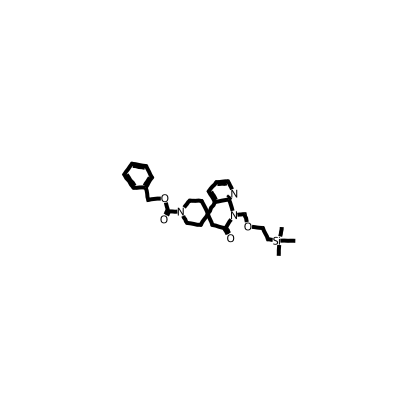 C[Si](C)(C)CCOCN1C(=O)CC2(CCN(C(=O)OCc3ccccc3)CC2)c2cccnc21